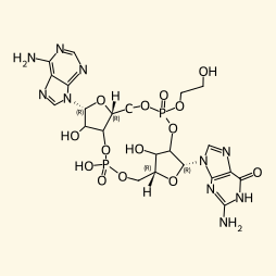 Nc1nc2c(ncn2[C@@H]2O[C@@H]3COP(=O)(O)OC4C(O)[C@H](n5cnc6c(N)ncnc65)O[C@@H]4COP(=O)(OCCO)OC2C3O)c(=O)[nH]1